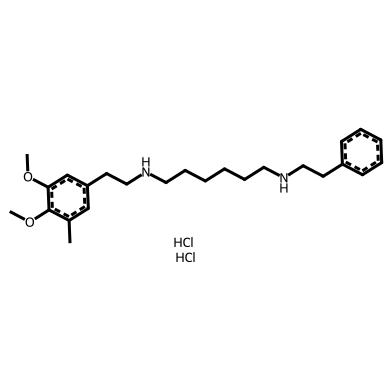 COc1cc(CCNCCCCCCNCCc2ccccc2)cc(C)c1OC.Cl.Cl